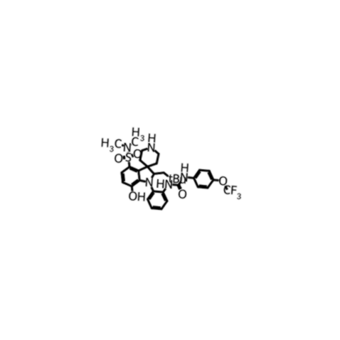 CN(C)S(=O)(=O)c1ccc(O)c2c1C1(CCNCC1)C(CC(C)(C)C)N2c1ccccc1NC(=O)Nc1ccc(OC(F)(F)F)cc1